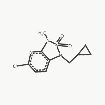 CN1c2nc(Cl)ccc2N(CC2CC2)S1(=O)=O